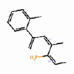 C=C(/C=C(C)\C(P)=C/C)c1ccccc1C